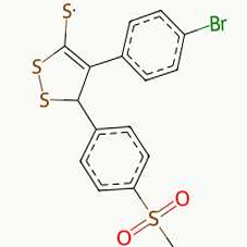 CS(=O)(=O)c1ccc(C2SSC([S])=C2c2ccc(Br)cc2)cc1